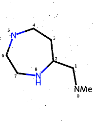 CNCC1CC[N]CCN1